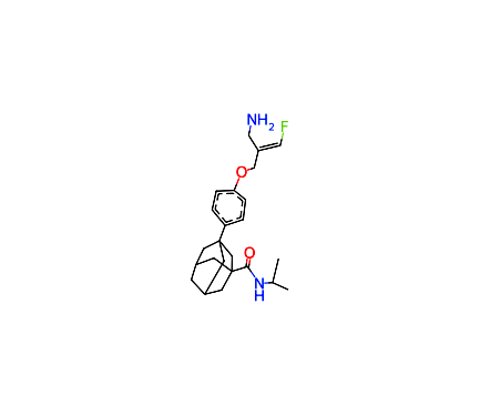 CC(C)NC(=O)C12CC3CC(C1)CC(c1ccc(OC/C(=C/F)CN)cc1)(C3)C2